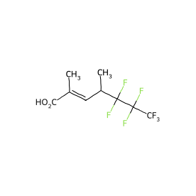 CC(=CC(C)C(F)(F)C(F)(F)C(F)(F)F)C(=O)O